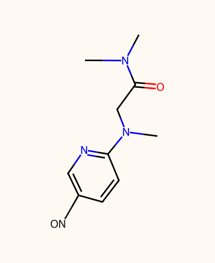 CN(C)C(=O)CN(C)c1ccc(N=O)cn1